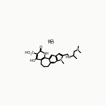 CC(CN(C)C)NCc1cc2cc3c(cc2n1C)CCCc1c-3[nH]c(=O)c(C(=O)O)c1O.Cl.Cl